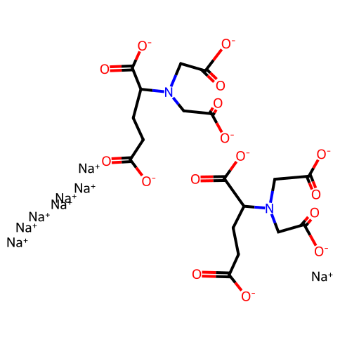 O=C([O-])CCC(C(=O)[O-])N(CC(=O)[O-])CC(=O)[O-].O=C([O-])CCC(C(=O)[O-])N(CC(=O)[O-])CC(=O)[O-].[Na+].[Na+].[Na+].[Na+].[Na+].[Na+].[Na+].[Na+]